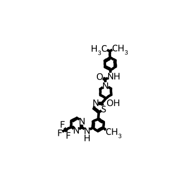 Cc1cc(Nc2nccc(C(F)(F)F)n2)cc(-c2cnc(C3(O)CCN(C(=O)Nc4ccc(C(C)C)cc4)CC3)s2)c1